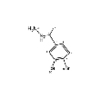 CC(NN)c1ccc(Br)c(Br)c1